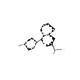 Clc1ccc(-c2nc(C(Br)Br)cc3ccccc23)cc1